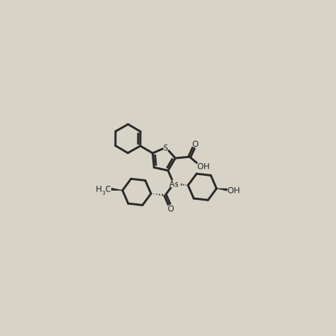 C[C@H]1CC[C@H](C(=O)[As](c2cc(C3=CCCCC3)sc2C(=O)O)[C@H]2CC[C@H](O)CC2)CC1